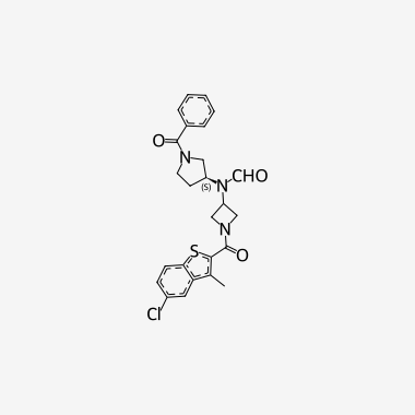 Cc1c(C(=O)N2CC(N(C=O)[C@H]3CCN(C(=O)c4ccccc4)C3)C2)sc2ccc(Cl)cc12